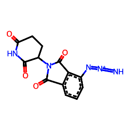 N=[N+]=Nc1cccc2c1C(=O)N(C1CCC(=O)NC1=O)C2=O